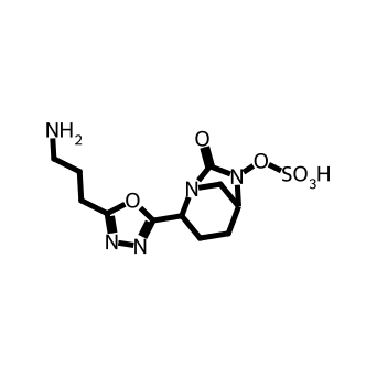 NCCCc1nnc(C2CCC3CN2C(=O)N3OS(=O)(=O)O)o1